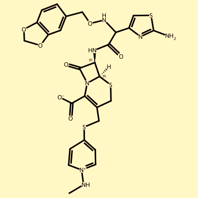 CN[n+]1ccc(SCC2=C(C(=O)[O-])N3C(=O)[C@@H](NC(=O)C(NOCc4ccc5c(c4)OCO5)c4csc(N)n4)[C@H]3SC2)cc1